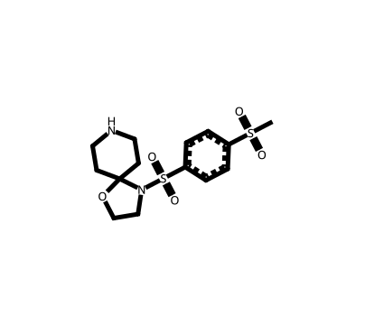 CS(=O)(=O)c1ccc(S(=O)(=O)N2CCOC23CCNCC3)cc1